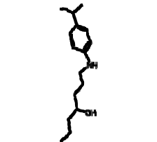 CCCC(O)CCCNc1ccc(C(C)C)cc1